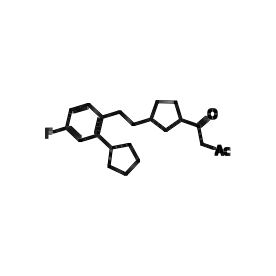 CC(=O)CC(=O)C1CCC(CCc2ccc(F)cc2C2CCCC2)C1